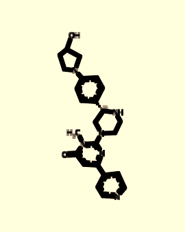 Cn1c(N2CCN[C@@H](c3ccc(N4CCC(O)C4)cc3)C2)nc(-c2ccncc2)cc1=O